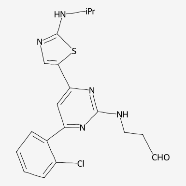 CC(C)Nc1ncc(-c2cc(-c3ccccc3Cl)nc(NCCC=O)n2)s1